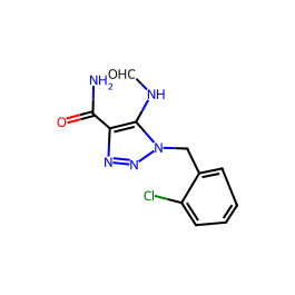 NC(=O)c1nnn(Cc2ccccc2Cl)c1NC=O